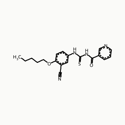 CCCCCOc1ccc(NC(=S)NC(=O)c2cccnc2)cc1C#N